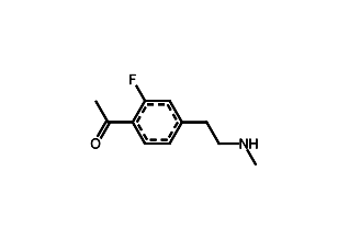 CNCCc1ccc(C(C)=O)c(F)c1